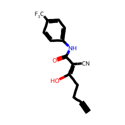 C#CCC/C(O)=C(\C#N)C(=O)Nc1ccc(C(F)(F)F)cc1